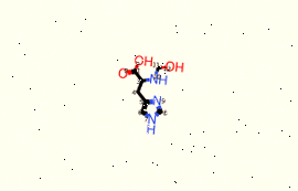 O=C(O)C(Cc1c[nH]cn1)NCO